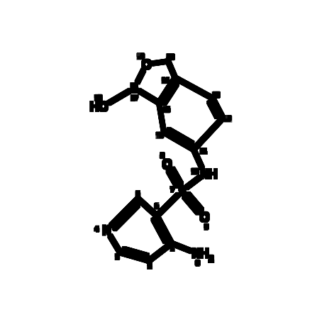 Nc1ccncc1S(=O)(=O)Nc1ccc2c(c1)B(O)OC2